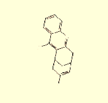 CC1=CC2Cc3nc4ccccc4c(N)c3C(C1)C2